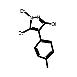 CCc1c(-c2ccc(C)cc2)c(O)nn1CC